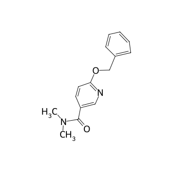 CN(C)C(=O)c1ccc(OCc2ccccc2)nc1